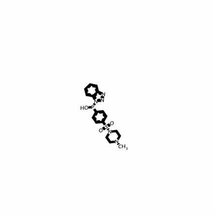 CN1CCN(S(=O)(=O)c2ccc(P(O)n3nnc4ccccc43)cc2)CC1